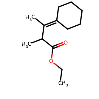 CCOC(=O)C(C)C(C)=C1CCCCC1